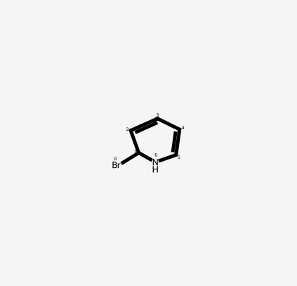 BrC1C=CC=CN1